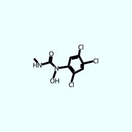 CNC(=O)N(O)c1cc(Cl)c(Cl)cc1Cl